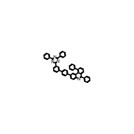 c1ccc(-c2nc(-c3ccccc3)nc(-c3cccc(-c4ccc(-c5ccc6nc(-c7ccccc7)c7cccc(-c8ccccc8)c7c6c5)cc4)c3)n2)cc1